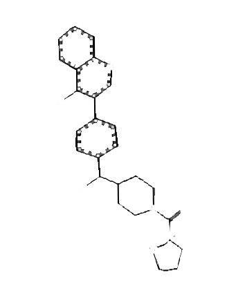 Cc1c(-c2ccc(C(C)C3CCN(C(=O)[C@H]4CCCO4)CC3)cc2)cnc2ccccc12